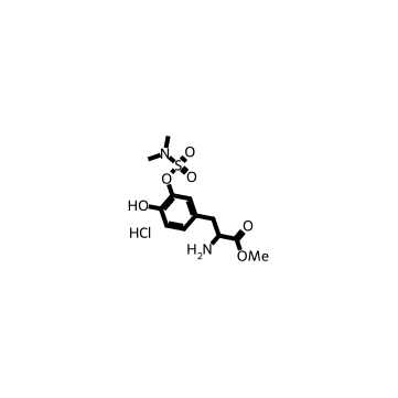 COC(=O)C(N)Cc1ccc(O)c(OS(=O)(=O)N(C)C)c1.Cl